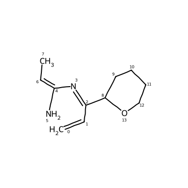 C=C/C(=N\C(N)=C/C)C1CCCCO1